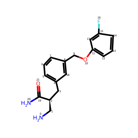 NC[C@H](Cc1cccc(COc2cccc(F)c2)c1)C(N)=O